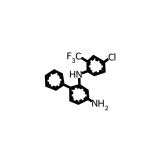 Nc1ccc(-c2ccccc2)c(Nc2ccc(Cl)cc2C(F)(F)F)c1